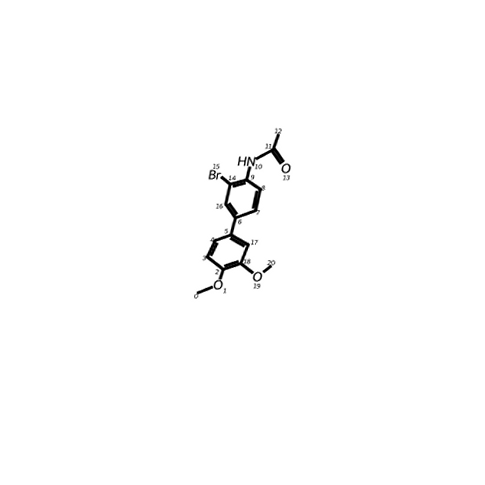 COc1ccc(-c2ccc(NC(C)=O)c(Br)c2)cc1OC